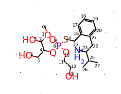 COC(O)C(CO)OP(=O)(OCCO)SCc1ccccc1CC(N)C(C)C